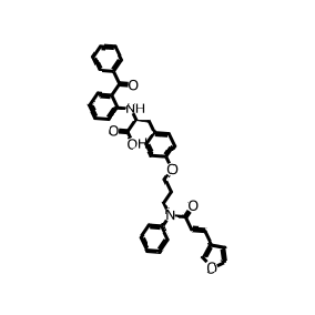 O=C(c1ccccc1)c1ccccc1N[C@@H](Cc1ccc(OCCCN(C(=O)/C=C/c2ccoc2)c2ccccc2)cc1)C(=O)O